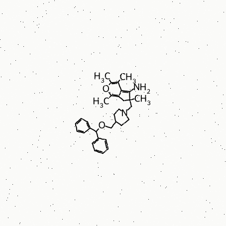 CC1=C(C)C2=C(N)C(C)(CN3CCC(COC(c4ccccc4)c4ccccc4)CC3)CC2=C(C)O1